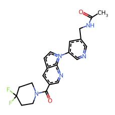 CC(=O)NCc1cncc(-n2ccc3cc(C(=O)N4CCC(F)(F)CC4)cnc32)c1